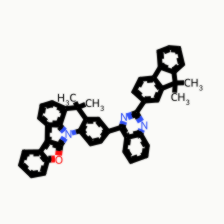 CC1(C)c2ccccc2-c2ccc(-c3nc(-c4ccc5c(c4)C(C)(C)c4cccc6c7c8ccccc8oc7n-5c46)c4ccccc4n3)cc21